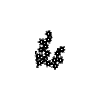 Fc1cc(F)c(B(c2nc(-c3cccc(-n4c5ccccc5c5c6c7ccccc7n(-c7ccc8sc9ccccc9c8c7)c6ccc54)c3)nc(-c3cccc(-n4c5ccccc5c5c6c7ccccc7n(-c7ccc8sc9ccccc9c8c7)c6ccc54)c3)n2)c2c(F)cc(F)cc2F)c(F)c1